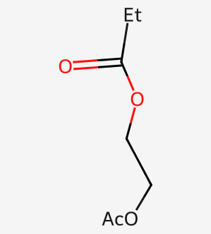 CCC(=O)OCCOC(C)=O